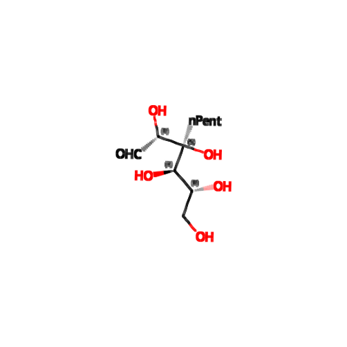 CCCCC[C@](O)([C@H](O)[C@H](O)CO)[C@@H](O)C=O